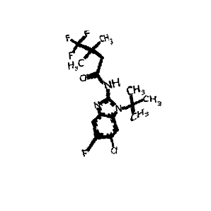 CC(C)(C)n1c(NC(=O)CC(C)(C)C(F)(F)F)nc2cc(F)c(Cl)cc21